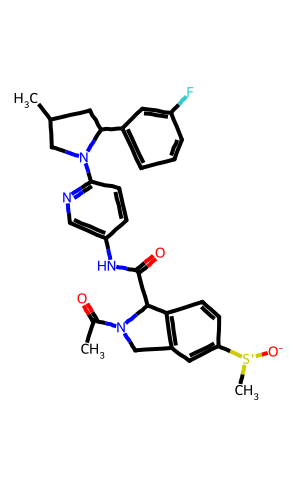 CC(=O)N1Cc2cc([S+](C)[O-])ccc2C1C(=O)Nc1ccc(N2CC(C)CC2c2cccc(F)c2)nc1